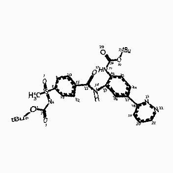 CC(C)(C)OC(=O)N=S(C)(=O)c1ccc(C(=O)Nc2cc(-c3cccnn3)ccc2NC(=O)OC(C)(C)C)cc1